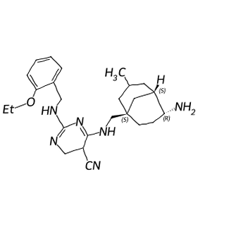 CCOc1ccccc1CNC1=NCC(C#N)C(NC[C@@]23CC[C@@H](N)[C@@H](CC(C)C2)C3)=N1